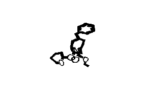 CCOC(=O)N1C2CC(=Cc3ccccc3)CC1C(OC1CCCCO1)C2